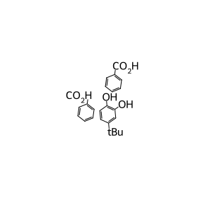 CC(C)(C)c1ccc(O)c(O)c1.O=C(O)c1ccccc1.O=C(O)c1ccccc1